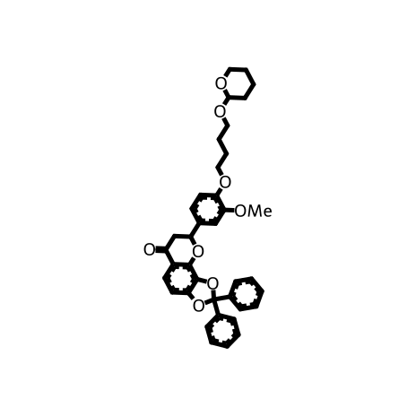 COc1cc(C2CC(=O)c3ccc4c(c3O2)OC(c2ccccc2)(c2ccccc2)O4)ccc1OCCCCOC1CCCCO1